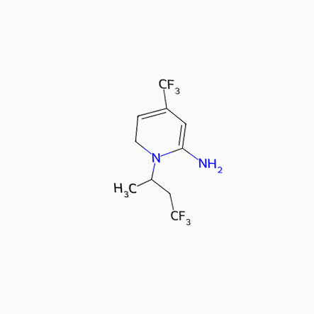 CC(CC(F)(F)F)N1CC=C(C(F)(F)F)C=C1N